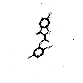 C/C(Nc1cc(Br)ccc1C=O)=C1\Nc2cc(Br)ccc2C1=O